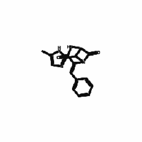 Cc1cnc(C2C3NC(=O)/C(=C/c4ccccc4)N2C3=O)[nH]1